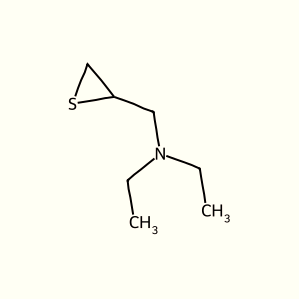 CCN(CC)CC1CS1